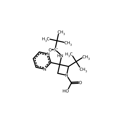 CC(C)(C)C1N(C(=O)O)CC1(N[S+]([O-])C(C)(C)C)c1ncccn1